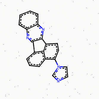 c1ccc2nc3c(nc2c1)-c1cccc2c(-n4ccnc4)ccc-3c12